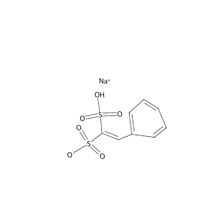 O=S(=O)([O-])C(=Cc1ccccc1)S(=O)(=O)O.[Na+]